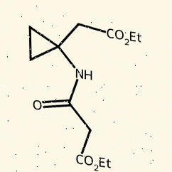 CCOC(=O)CC(=O)NC1(CC(=O)OCC)CC1